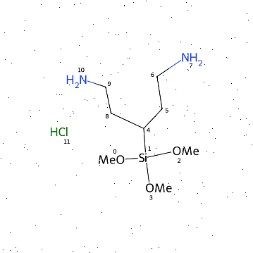 CO[Si](OC)(OC)C(CCN)CCN.Cl